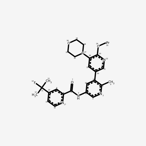 Cc1ncc(NC(=O)c2cc(C(C)(C)F)ccn2)cc1-c1cnc(OC(C)C)c(N2CCOCC2)c1